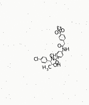 CCS(=O)(=O)c1ccc(CC(=O)Nc2ccc(C(=O)N(C)[C@@H](c3ccc(Cl)cc3)[C@@H](C)O)cc2)cc1